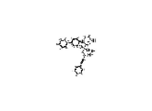 O=S(=O)(CC(C#Cc1ccccc1)NO)C1CNCCN1c1ccc(-c2ccccc2)cc1